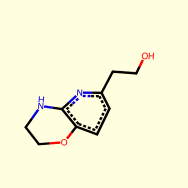 OCCc1ccc2c(n1)NCCO2